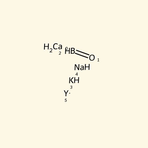 B=O.[CaH2].[KH].[NaH].[Y]